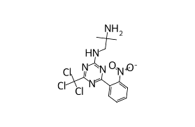 CC(C)(N)CNc1nc(-c2ccccc2[N+](=O)[O-])nc(C(Cl)(Cl)Cl)n1